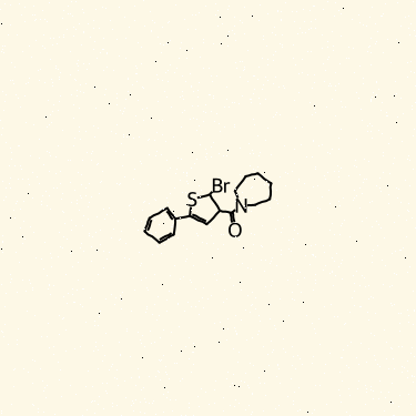 O=C(C1C=C(c2ccccc2)SC1Br)N1CCCCCC1